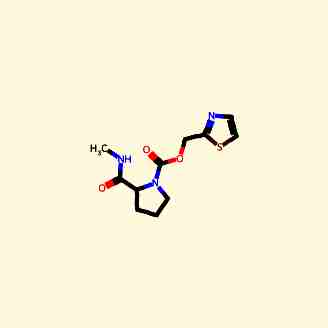 CNC(=O)C1CCCN1C(=O)OCc1nccs1